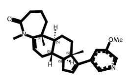 COc1cncc(C2=CC[C@H]3[C@@H]4CC=C5N(C)C(=O)CCC[C@]5(C)[C@H]4CC[C@]23C)c1